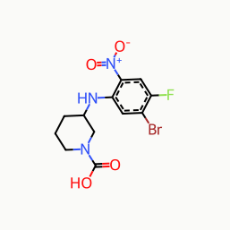 O=C(O)N1CCCC(Nc2cc(Br)c(F)cc2[N+](=O)[O-])C1